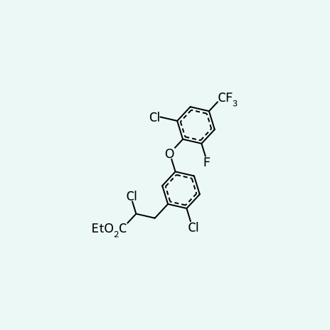 CCOC(=O)C(Cl)Cc1cc(Oc2c(F)cc(C(F)(F)F)cc2Cl)ccc1Cl